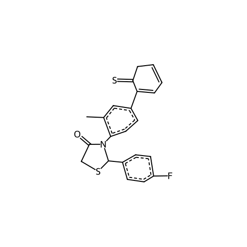 Cc1cc(C2=CC=CCC2=S)ccc1N1C(=O)CSC1c1ccc(F)cc1